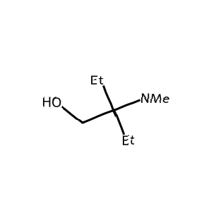 CCC(CC)(CO)NC